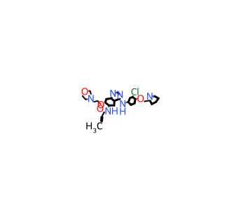 CC#CC(=O)Nc1cc2c(Nc3ccc(OCc4ccccn4)c(Cl)c3)ncnc2cc1OCCN1CCOCC1